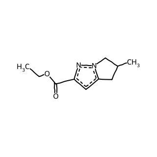 CCOC(=O)c1cc2n(n1)CC(C)C2